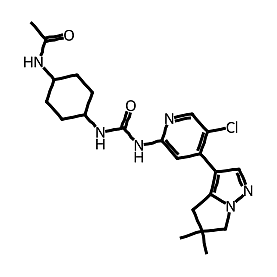 CC(=O)NC1CCC(NC(=O)Nc2cc(-c3cnn4c3CC(C)(C)C4)c(Cl)cn2)CC1